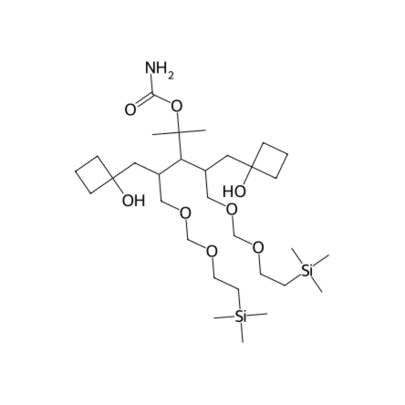 CC(C)(OC(N)=O)C(C(COCOCC[Si](C)(C)C)CC1(O)CCC1)C(COCOCC[Si](C)(C)C)CC1(O)CCC1